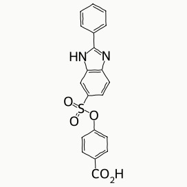 O=C(O)c1ccc(OS(=O)(=O)c2ccc3nc(-c4ccccc4)[nH]c3c2)cc1